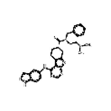 CN(C)CCN(Cc1ccccc1)C(=O)[C@H]1CCc2c(sc3ncnc(Nc4ccc5[nH]ncc5c4)c23)C1